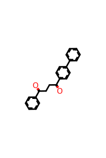 O=C(CCC(=O)c1ccc(-c2ccccc2)cc1)c1ccccc1